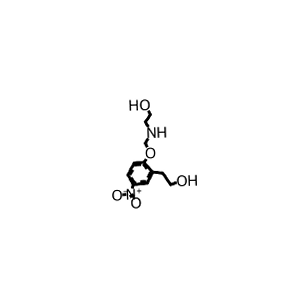 O=[N+]([O-])c1ccc(OCNCCO)c(CCO)c1